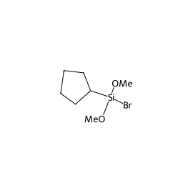 CO[Si](Br)(OC)C1CCCC1